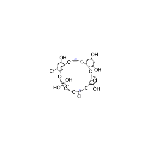 Oc1cc(O)c2c(c1)C/C=C\Cc1cc(c(Cl)cc1O)Oc1c(O)cc(cc1O)C/C(Cl)=C\Cc1c(O)ccc(c1Cl)O2